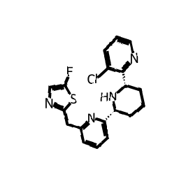 Fc1cnc(Cc2cccc([C@H]3CCC[C@@H](c4ncccc4Cl)N3)n2)s1